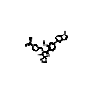 COc1cc(-c2ccc3[nH]ccc3c2)ccc1C1=NC2(CCCC2)C(=O)N1CC1CCN(C(=O)C2CC2)C1